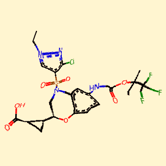 CCn1cc(S(=O)(=O)N2C[C@H]([C@H]3C[C@H]3C(=O)O)Oc3ccc(NC(=O)OC(C)(C)C(F)(F)F)cc32)c(Cl)n1